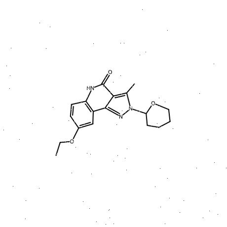 CCOc1ccc2[nH]c(=O)c3c(C)n(C4CCCCO4)nc3c2c1